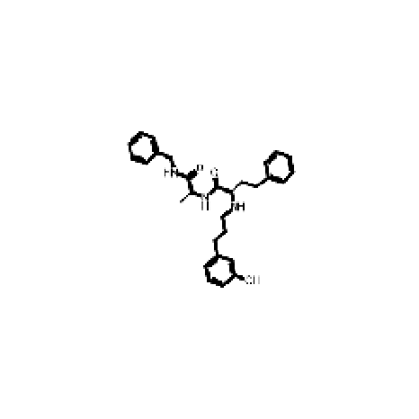 C[C@H](NC(=O)[C@@H](CCc1ccccc1)NCCCc1cccc(O)c1)C(=O)NCc1cc[c]cc1